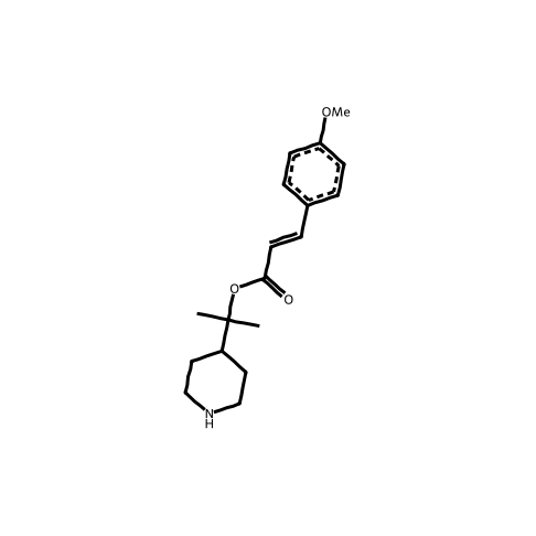 COc1ccc(/C=C/C(=O)OC(C)(C)C2CCNCC2)cc1